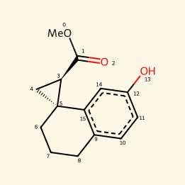 COC(=O)[C@@H]1C[C@]12CCCc1ccc(O)cc12